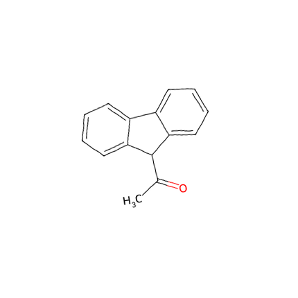 CC(=O)C1c2ccccc2-c2ccccc21